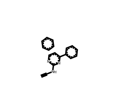 C#CNc1nccc(-c2ccccc2)n1.c1ccccc1